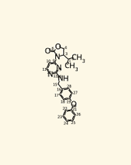 CC(C)C1COC(=O)N1c1ccnc(NCc2ccc(Oc3ccccc3)cc2)n1